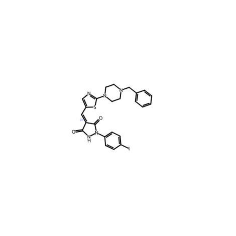 O=C1NN(c2ccc(I)cc2)C(=O)/C1=C\c1cnc(N2CCN(Cc3ccccc3)CC2)s1